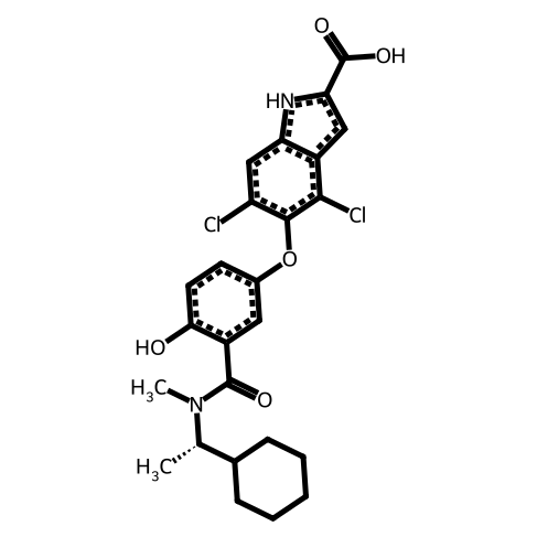 C[C@@H](C1CCCCC1)N(C)C(=O)c1cc(Oc2c(Cl)cc3[nH]c(C(=O)O)cc3c2Cl)ccc1O